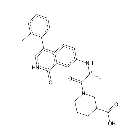 Cc1ccccc1-c1c[nH]c(=O)c2cc(N[C@H](C)C(=O)N3CCCC(C(=O)O)C3)ccc12